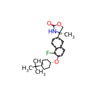 CC(C)(C)[C@H]1CC[C@H](Oc2ccc3cc([C@]4(C)COC(=O)N4)ccc3c2F)CC1